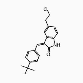 CC(C)(C)c1ccc(C=C2C(=O)Nc3ccc(CCCl)cc32)cc1